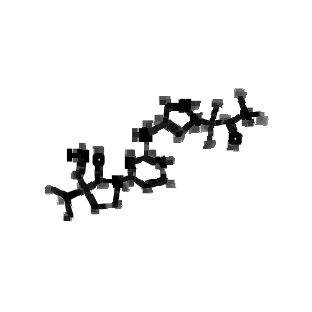 CC(C)[C@]1(C=N)CCN(c2ccnc(Nc3cnn(C(C)(C)C(=O)N(C)C)c3)n2)C1=O